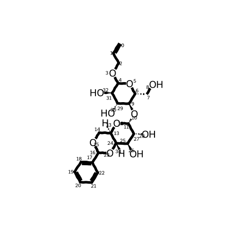 C=CCOC1O[C@H](CO)[C@@H](O[C@H]2O[C@@H]3COC(c4ccccc4)O[C@H]3[C@H](O)[C@H]2O)[C@H](O)[C@H]1O